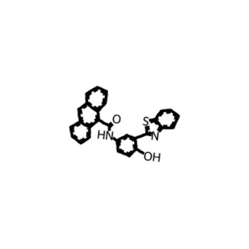 O=C(Nc1ccc(O)c(-c2nc3ccccc3s2)c1)c1c2ccccc2cc2ccccc12